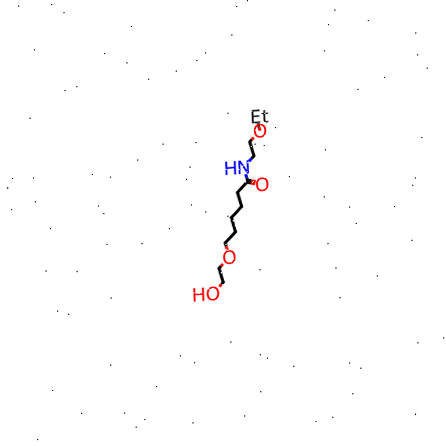 CCOCCNC(=O)CCCCCOCCO